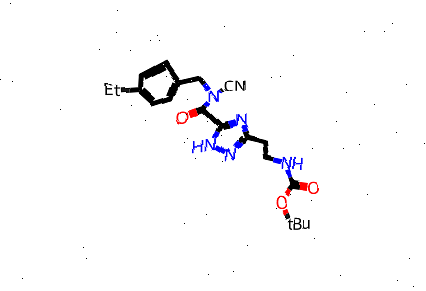 CCc1ccc(CN(C#N)C(=O)c2nc(CCNC(=O)OC(C)(C)C)n[nH]2)cc1